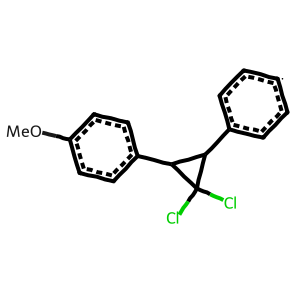 COc1ccc(C2C(c3cc[c]cc3)C2(Cl)Cl)cc1